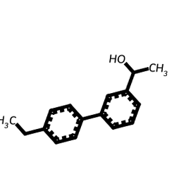 CCc1ccc(-c2cccc(C(C)O)c2)cc1